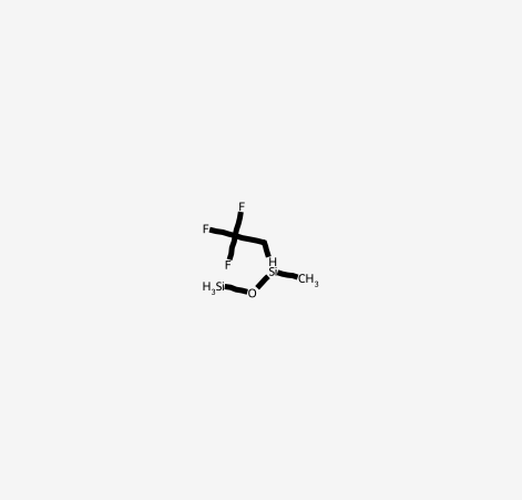 C[SiH](CC(F)(F)F)O[SiH3]